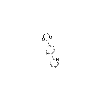 c1ccc(-c2ccc(C3OCCO3)cn2)nc1